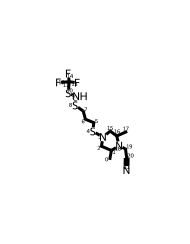 CC1CN(SCCCSNSC(F)(F)F)CC(C)N1CC#N